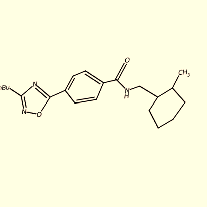 CCCCc1noc(-c2ccc(C(=O)NCC3CCCCC3C)cc2)n1